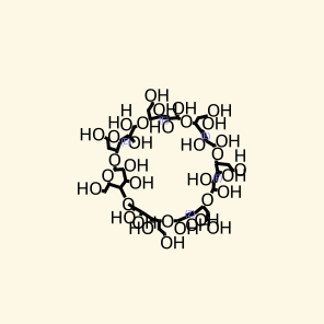 OCCC1OC(O)/C(O)=C(\O)C(CCO)OC(O)/C(O)=C(\O)C(CCO)OC(O)/C(O)=C(\O)C(CCO)OC(O)/C(O)=C(\O)C(CCO)OC2OC(CO)C(OC(O)C(O)C(O)C(CCO)OC(O)/C(O)=C\1O)C(O)C2O